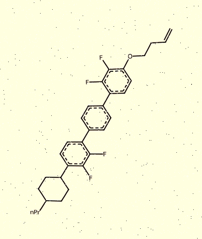 C=CCCOc1ccc(-c2ccc(-c3ccc(C4CCC(CCC)CC4)c(F)c3F)cc2)c(F)c1F